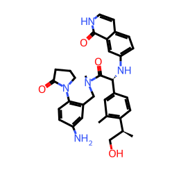 Cc1cc([C@@H](Nc2ccc3cc[nH]c(=O)c3c2)C(=O)N(C)Cc2cc(N)ccc2N2CCCC2=O)ccc1[C@@H](C)CO